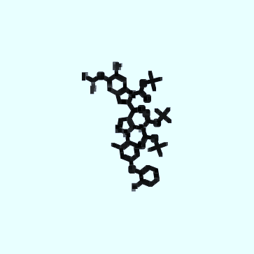 Cc1cc(Oc2ccccc2F)ccc1-n1ncc(C(=O)c2cc3cc(OC(F)F)c(Br)cc3n2C(=O)OC(C)(C)C)c1N(C(=O)OC(C)(C)C)C(=O)OC(C)(C)C